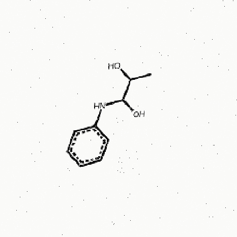 CC(O)C(O)Nc1ccccc1